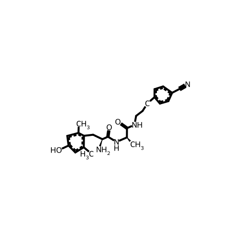 Cc1cc(O)cc(C)c1C[C@H](N)C(=O)N[C@H](C)C(=O)NCCCc1ccc(C#N)cc1